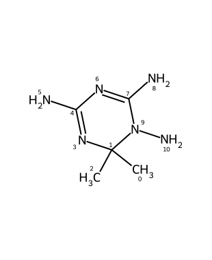 CC1(C)N=C(N)N=C(N)N1N